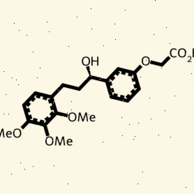 COc1ccc(CC[C@@H](O)c2cccc(OCC(=O)O)c2)c(OC)c1OC